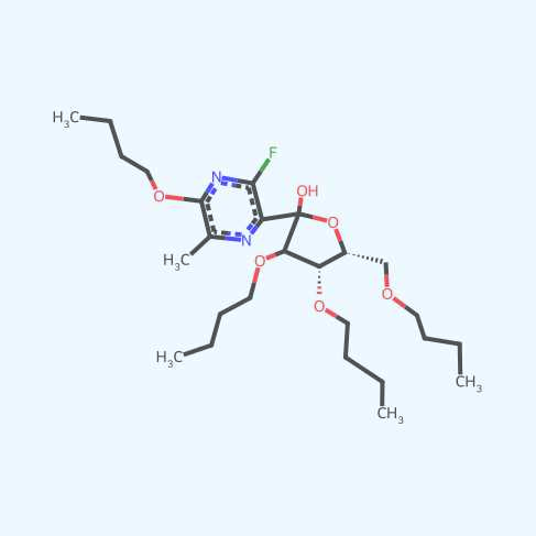 CCCCOC[C@H]1OC(O)(c2nc(C)c(OCCCC)nc2F)C(OCCCC)[C@H]1OCCCC